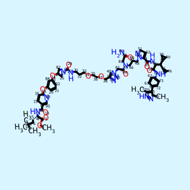 COC(=O)[C@H](CCC(C)(C)C)NC(=O)c1ccc(Oc2cccc(OC3CN(C(=O)NCCCOCCOCc4cn(CC(=O)N(CCCn5nccc5C(=O)N[C@H](C(=O)Nc5ccc(-c6c(C)n[nH]c6C)cc5)C(C5CC5)C5CC5)CC(N)=O)nn4)C3)c2)nc1